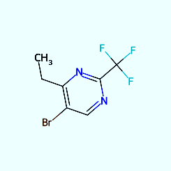 CCc1nc(C(F)(F)F)ncc1Br